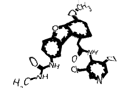 CNC(=O)Nc1ccc2oc3c(OC)ccc(C(=O)Nc4c(Cl)cncc4Cl)c3c2c1